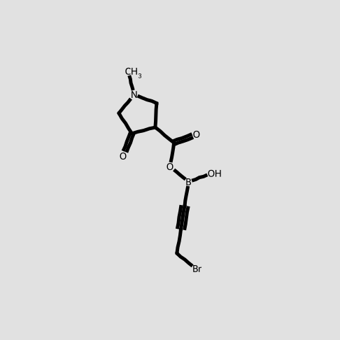 CN1CC(=O)C(C(=O)OB(O)C#CCBr)C1